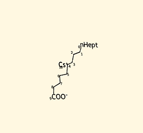 CCCCCCCCCCCCCCCC(=O)[O-].[Cs+]